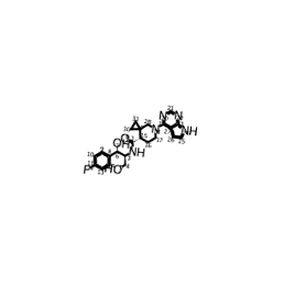 O=C(N[C@@H](CO)[C@@H](O)c1ccc(F)cc1)[C@H]1CCN(c2ncnc3[nH]ccc23)CC12CC2